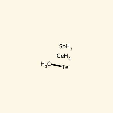 C[Te].[GeH4].[SbH3]